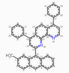 Cc1ccc2cc3ccccc3c(-c3cc(-c4ccccc4)c4ccc5c(-c6ccccc6)ccnc5c4n3)c2c1